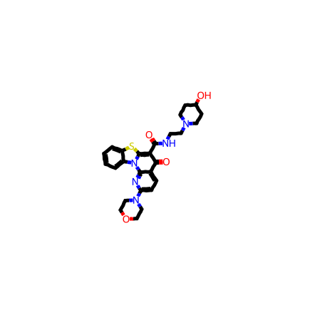 O=C(NCCN1CCC(O)CC1)c1c(=O)c2ccc(N3CCOCC3)nc2n2c1sc1ccccc12